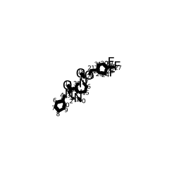 CN1CN(Cc2ccccc2)C(=O)C2=C1CCN(C(=O)OCc1ccc(C(F)(F)F)cc1)C2